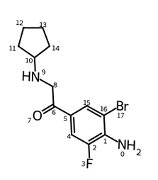 Nc1c(F)cc(C(=O)CNC2CCCC2)cc1Br